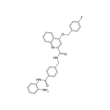 Nc1ccccc1NC(=O)c1ccc(CNC(=O)c2cc(OCc3ccc(F)cc3)c3ccccc3n2)cc1